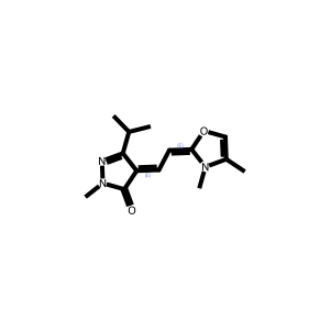 CC1=CO/C(=C/C=C2/C(=O)N(C)N=C2C(C)C)N1C